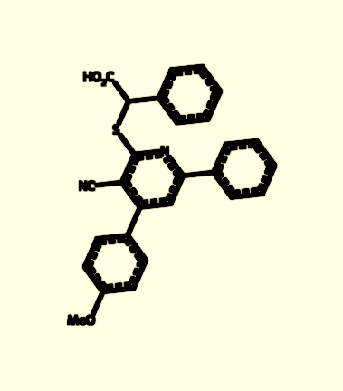 COc1ccc(-c2cc(-c3ccccc3)nc(SC(C(=O)O)c3ccccc3)c2C#N)cc1